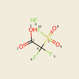 F.O=C(O)C(F)(F)S(=O)(=O)F